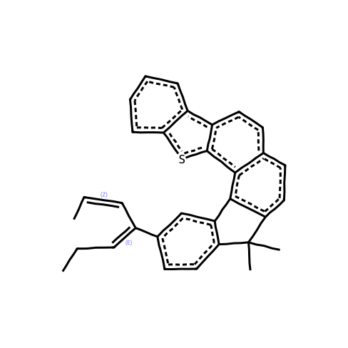 C/C=C\C(=C/CC)c1ccc2c(c1)-c1c(ccc3ccc4c5ccccc5sc4c13)C2(C)C